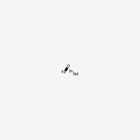 [Nd].[O]=[Fe].[Pr]